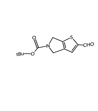 CC(C)(C)OC(=O)N1Cc2cc(C=O)sc2C1